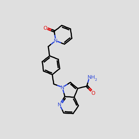 NC(=O)c1cn(Cc2ccc(Cn3ccccc3=O)cc2)c2ncccc12